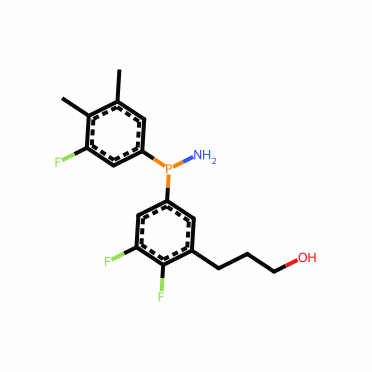 Cc1cc(P(N)c2cc(F)c(F)c(CCCO)c2)cc(F)c1C